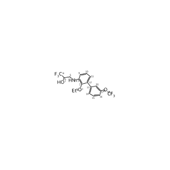 CCOc1c(NCC(O)C(F)(F)F)cccc1-c1cccc(OC(F)(F)F)c1